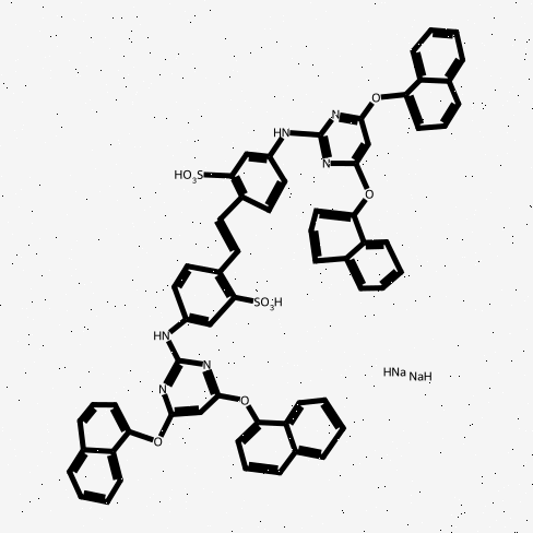 O=S(=O)(O)c1cc(Nc2nc(Oc3cccc4ccccc34)cc(Oc3cccc4ccccc34)n2)ccc1C=Cc1ccc(Nc2nc(Oc3cccc4ccccc34)cc(Oc3cccc4ccccc34)n2)cc1S(=O)(=O)O.[NaH].[NaH]